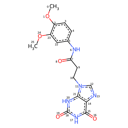 COc1ccc(NC(=O)CCn2cnc3c(=O)[nH]c(=O)[nH]c32)cc1OC